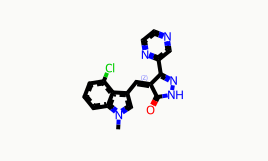 Cn1cc(/C=C2\C(=O)NN=C2c2cnccn2)c2c(Cl)cccc21